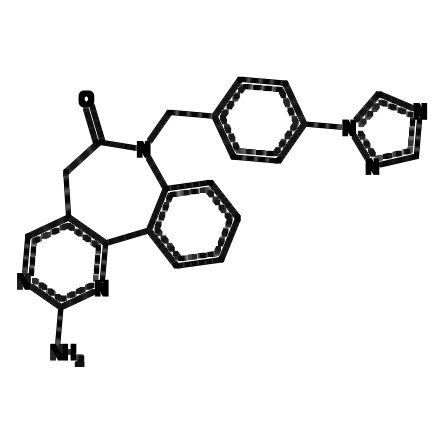 Nc1ncc2c(n1)-c1ccccc1N(Cc1ccc(-n3cncn3)cc1)C(=O)C2